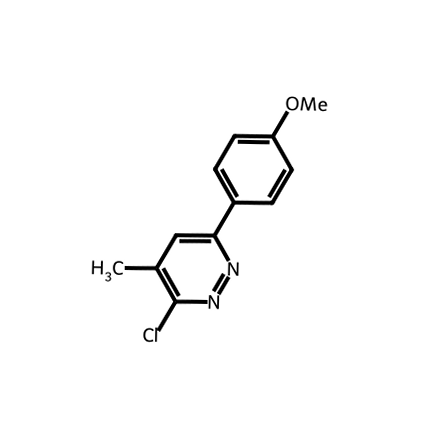 COc1ccc(-c2cc(C)c(Cl)nn2)cc1